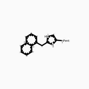 CCCCCc1c[nH]c(Cc2cccc3ccccc23)n1